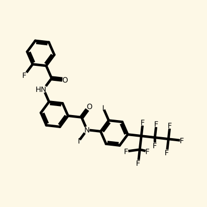 O=C(Nc1cccc(C(=O)N(I)c2ccc(C(F)(C(F)(F)F)C(F)(F)C(F)(F)F)cc2I)c1)c1ccccc1F